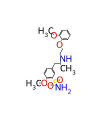 COc1ccccc1OCCNC(C)Cc1ccc(OC)c(S(N)(=O)=O)c1